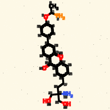 CC(P)Oc1ccc(-c2ccc3c(=O)c4cc(CCC(N)(CO)CO)ccc4oc3c2)cc1